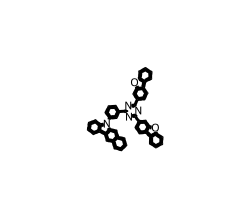 c1cc(-c2nc(-c3ccc4c(c3)oc3ccccc34)nc(-c3ccc4c(c3)oc3ccccc34)n2)cc(-n2c3ccccc3c3cc4ccccc4cc32)c1